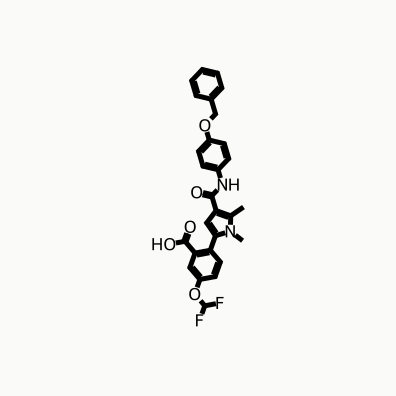 Cc1c(C(=O)Nc2ccc(OCc3ccccc3)cc2)cc(-c2ccc(OC(F)F)cc2C(=O)O)n1C